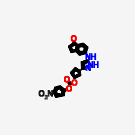 O=C(Oc1ccc([N+](=O)[O-])cc1)O[C@@H]1CC[C@H](c2cc(Nc3ccc4c(c3)CCC4=O)[nH]n2)C1